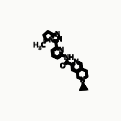 C[C@H]1CCc2nnc(-c3cccc(NC(=O)c4cc5c(cn4)CCN(C4CC4)C5)n3)n21